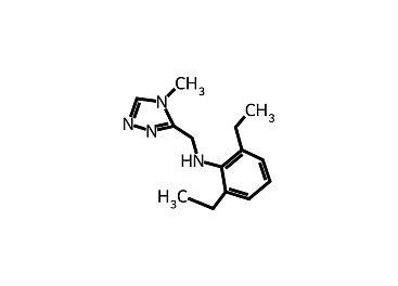 CCc1cccc(CC)c1NCc1nncn1C